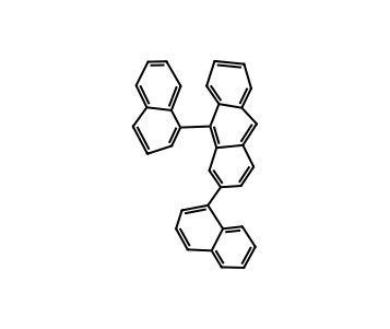 c1ccc2c(-c3ccc4cc5ccccc5c(-c5cccc6ccccc56)c4c3)cccc2c1